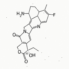 CC[C@@]1(O)C(=O)OCc2c1cc1n(c2=O)CC2=C3C(N)CCC4C(C)=C(F)C=C(N=C21)C34